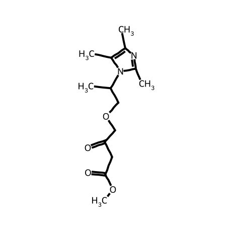 COC(=O)CC(=O)COCC(C)n1c(C)nc(C)c1C